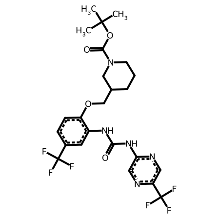 CC(C)(C)OC(=O)N1CCCC(COc2ccc(C(F)(F)F)cc2NC(=O)Nc2cnc(C(F)(F)F)cn2)C1